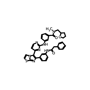 CN(CC1CCCO1)C(=O)c1cccc(Nc2nccc(-c3c(-c4cccc(NC(=O)Cc5ccccc5)c4)nc4sccn34)n2)c1